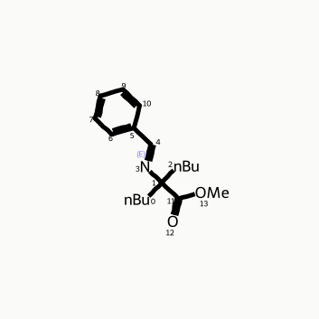 CCCCC(CCCC)(/N=C/c1ccccc1)C(=O)OC